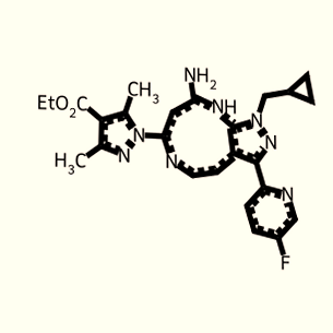 CCOC(=O)c1c(C)nn(-c2cc(N)[nH]c3c(ccn2)c(-c2ccc(F)cn2)nn3CC2CC2)c1C